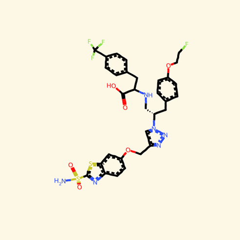 NS(=O)(=O)c1nc2ccc(OCc3cn([C@H](CNC(Cc4ccc(C(F)(F)F)cc4)C(=O)O)Cc4ccc(OCCF)cc4)nn3)cc2s1